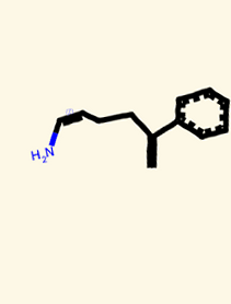 C=C(CC/C=C\N)c1ccccc1